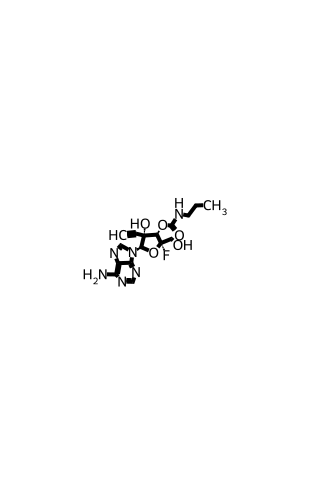 C#C[C@]1(O)[C@H](n2cnc3c(N)ncnc32)O[C@](F)(CO)[C@H]1OC(=O)NCCC